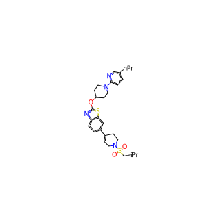 CCCc1ccc(N2CCC(Oc3nc4ccc(C5=CCN(S(=O)(=O)CC(C)C)CC5)cc4s3)CC2)nc1